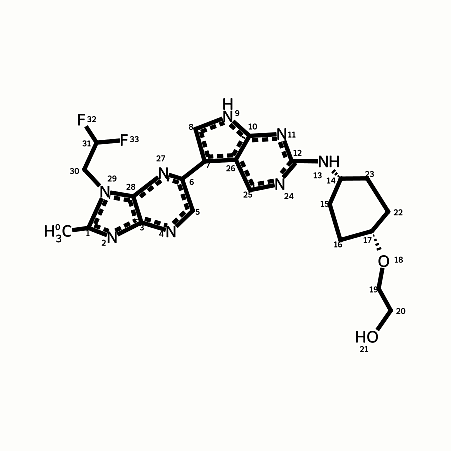 Cc1nc2ncc(-c3c[nH]c4nc(N[C@H]5CC[C@@H](OCCO)CC5)ncc34)nc2n1CC(F)F